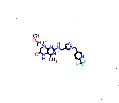 COCC[C@H]1C(=O)Nc2c(C)nc(NCc3cnn(Cc4ccc(C(F)(F)F)nc4)c3)nc2N1C